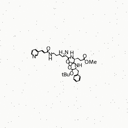 COC(=O)CC[C@H](NC(=O)[C@@H](N)CCCCNC(=O)/C=C/c1cccnc1)C(=O)N[C@@H](Cc1ccccc1)C(=O)OC(C)(C)C